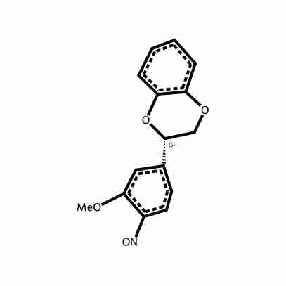 COc1cc([C@H]2COc3ccccc3O2)ccc1N=O